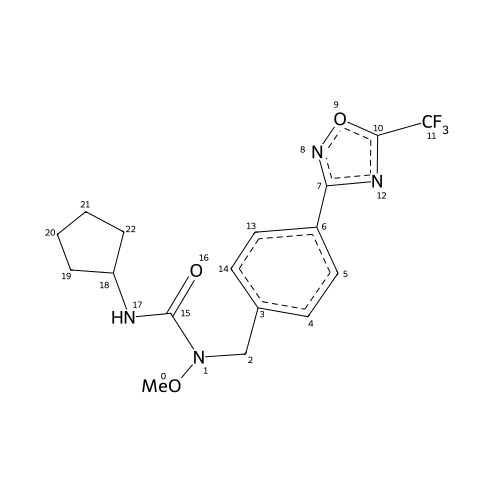 CON(Cc1ccc(-c2noc(C(F)(F)F)n2)cc1)C(=O)NC1CCCC1